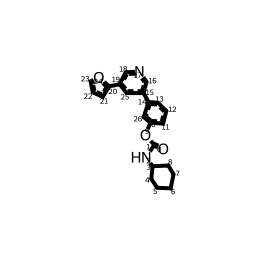 O=C(NC1CCCCC1)Oc1cccc(-c2cncc(-c3ccco3)c2)c1